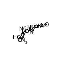 C[C@H](O)C(=O)N1CCC(Oc2ccc(-c3nccc(Nc4ccc(N5CCN(C6COC6)CC5)cc4)n3)cc2C#N)CC1